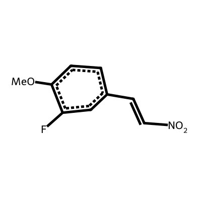 COc1ccc(/C=C/[N+](=O)[O-])cc1F